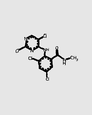 CNC(=O)c1cc(Cl)cc(Cl)c1Nc1nc(Cl)ncc1Cl